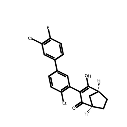 CCc1ccc(-c2ccc(F)c(Cl)c2)cc1C1=C(O)[C@H]2CC[C@H](C2)C1=O